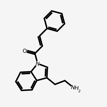 NCCc1cn(C(=O)C=Cc2ccccc2)c2ccccc12